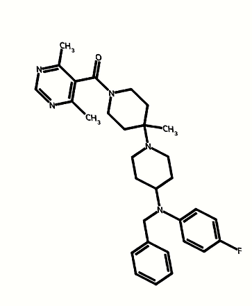 Cc1ncnc(C)c1C(=O)N1CCC(C)(N2CCC(N(Cc3ccccc3)c3ccc(F)cc3)CC2)CC1